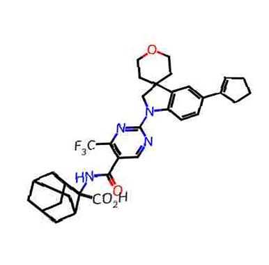 O=C(NC1(C(=O)O)C2CC3CC(C2)CC1C3)c1cnc(N2CC3(CCOCC3)c3cc(C4=CCCC4)ccc32)nc1C(F)(F)F